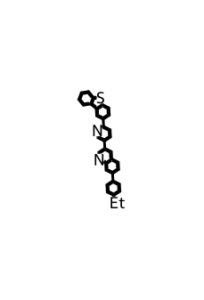 CCc1ccc(-c2ccc3cc(-c4ccc(-c5ccc6sc7ccccc7c6c5)nc4)cnc3c2)cc1